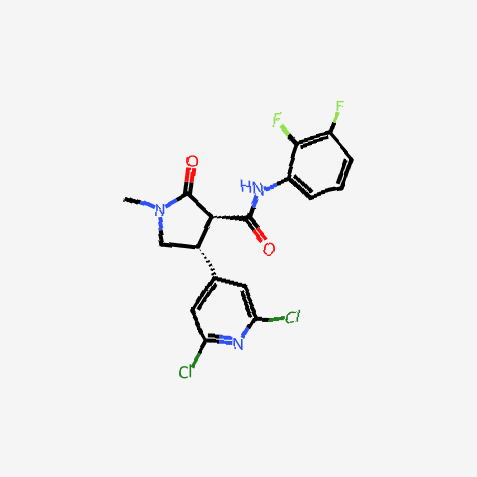 CN1C[C@@H](c2cc(Cl)nc(Cl)c2)[C@H](C(=O)Nc2cccc(F)c2F)C1=O